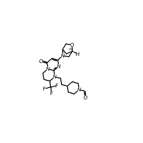 O=CN1CCC(CCN2c3nc(N4C[C@@H]5CC4CO5)cc(=O)n3CCC2C(F)(F)F)CC1